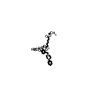 CCOC(=O)CCCCCCOc1c(CN2CCN(c3ccccc3)CC2)ccc(OC)c1OC.Cl.Cl